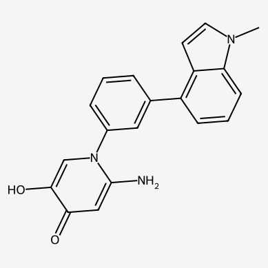 Cn1ccc2c(-c3cccc(-n4cc(O)c(=O)cc4N)c3)cccc21